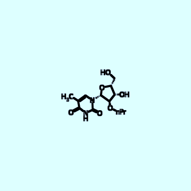 CCCO[C@@H]1[C@@H](O)[C@@H](CO)O[C@H]1n1cc(C)c(=O)[nH]c1=O